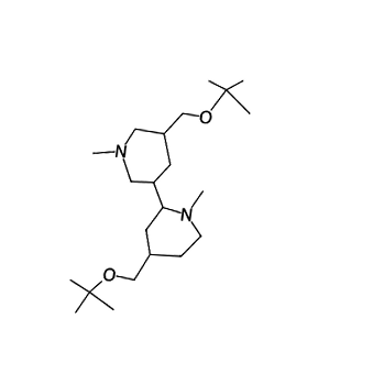 CN1CC(COC(C)(C)C)CC(C2CC(COC(C)(C)C)CCN2C)C1